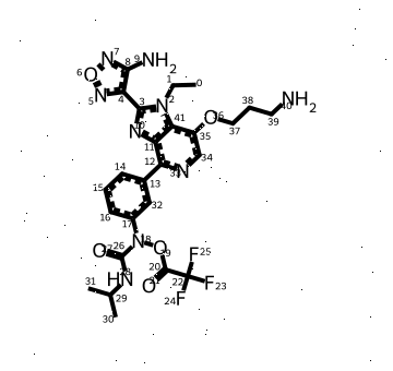 CCn1c(-c2nonc2N)nc2c(-c3cccc(N(OC(=O)C(F)(F)F)C(=O)NC(C)C)c3)ncc(OCCCN)c21